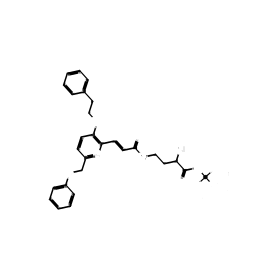 CC(C)(C)OC(=O)C(N)CCNC(=O)/C=C/c1nc(CSc2ccccc2)ccc1OCCc1ccccc1